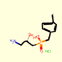 Cc1ccc(CP(=O)(O)C[C@@H](O)CN)cc1.Cl